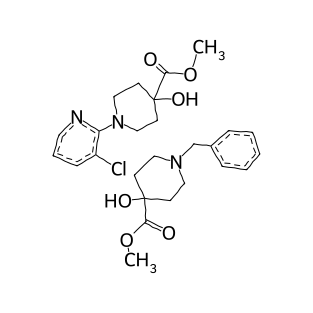 COC(=O)C1(O)CCN(Cc2ccccc2)CC1.COC(=O)C1(O)CCN(c2ncccc2Cl)CC1